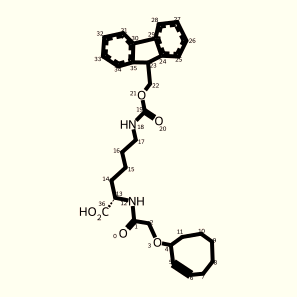 O=C(COC1C#CCCCCC1)N[C@@H](CCCCNC(=O)OCC1c2ccccc2-c2ccccc21)C(=O)O